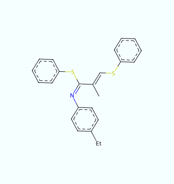 CCc1ccc(/N=C(Sc2ccccc2)\C(C)=C\Sc2ccccc2)cc1